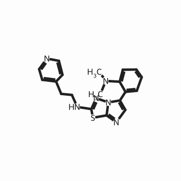 CN(C)c1ccccc1-c1cnc2sc(NCCc3ccncc3)nn12